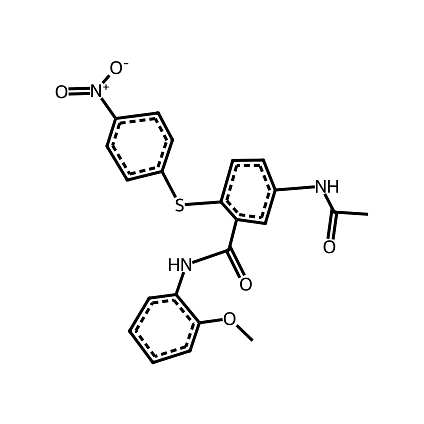 COc1ccccc1NC(=O)c1cc(NC(C)=O)ccc1Sc1ccc([N+](=O)[O-])cc1